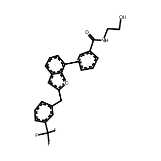 O=C(NCCO)c1cccc(-c2cccc3cc(Cc4cccc(C(F)(F)F)c4)oc23)c1